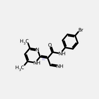 CC1=CC(C)=N/C(=C(/C=N)C(=O)Nc2ccc(Br)cc2)N1